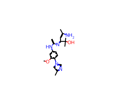 C=C(/N=C(\C=C(\C)N)C(C)(C)O)Nc1ccc(-n2cnc(C)c2)c(OC)c1